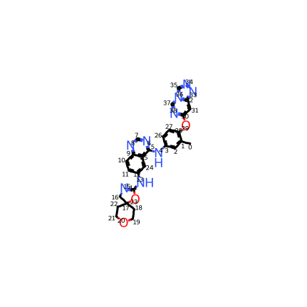 Cc1cc(Nc2ncnc3ccc(NC4=NCC5(CCOCC5)O4)cc23)ccc1Oc1cc2nncn2cn1